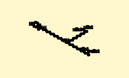 C=C(CCCCCCCCCC(CCCCCCCCC(=C)C(CCCCCCCC)CCCCCCCC)CNCCCCCCCCCCCNC(=C)C1(C)CCNCC1)C(CCCCCCCC)CCCCCCCC